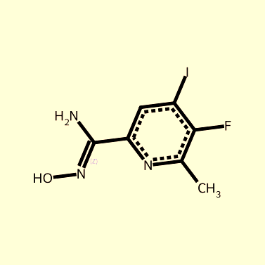 Cc1nc(/C(N)=N/O)cc(I)c1F